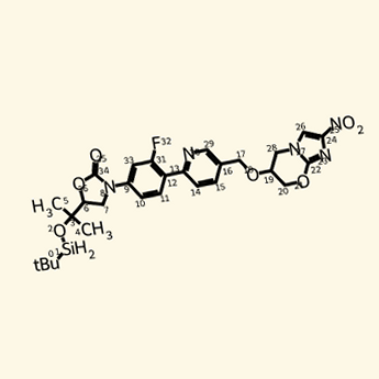 CC(C)(C)[SiH2]OC(C)(C)C1CN(c2ccc(-c3ccc(COC4COc5nc([N+](=O)[O-])cn5C4)cn3)c(F)c2)C(=O)O1